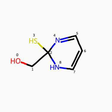 OCC1(S)N=CC=CN1